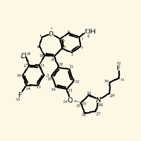 Oc1ccc2c(c1)OCCC(c1ccc(F)cc1Cl)=C2c1ccc(O[C@H]2CCN(CCCF)C2)cc1